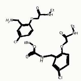 CCNC(=O)COc1ccc(Cl)cc1CN.CCNC(=O)COc1ccc(Cl)cc1CNC(=O)OC(C)(C)C